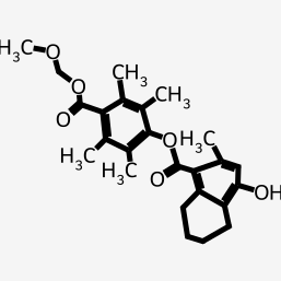 COCOC(=O)c1c(C)c(C)c(OC(=O)c2c(C)cc(O)c3c2CCCC3)c(C)c1C